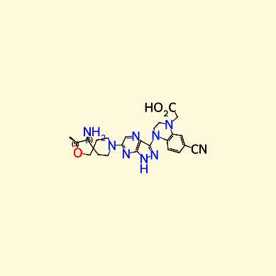 C[C@@H]1OCC2(CCN(c3cnc4c(N5CCN(CC(=O)O)c6cc(C#N)ccc65)n[nH]c4n3)CC2)[C@@H]1N